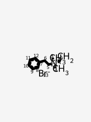 C=C[N+](C)(C)CCc1ccccc1.[Br-]